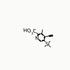 C#Cc1c([Si](C)(C)C)cnc(C(=O)O)c1C